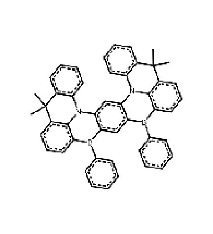 CC1(C)c2ccccc2N2c3cc4c(cc3B(c3ccccc3)c3cccc1c32)B(c1ccccc1)c1cccc2c1N4c1ccccc1C2(C)C